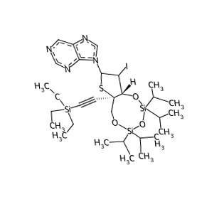 CC[Si](C#C[C@@]12CO[Si](C(C)C)(C(C)C)O[Si](C(C)C)(C(C)C)O[C@H]1C(I)C(n1cnc3cncnc31)S2)(CC)CC